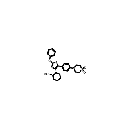 O=C(O)[C@@H]1CCCC[C@H]1c1nc(Oc2ccccc2)sc1-c1ccc(N2CCS(=O)(=O)CC2)cc1